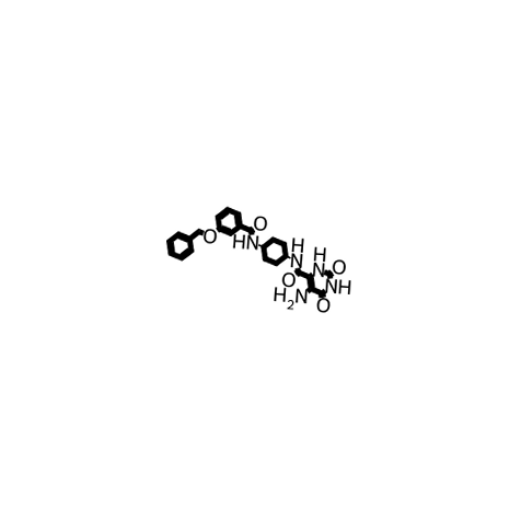 Nc1c(C(=O)N[C@H]2CC[C@@H](NC(=O)c3cccc(OCc4ccccc4)c3)CC2)[nH]c(=O)[nH]c1=O